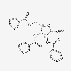 COC1O[C@@H](COC(=O)c2ccccc2)C(OC(=O)c2ccccc2)[C@@H]1OC(=O)c1ccccc1